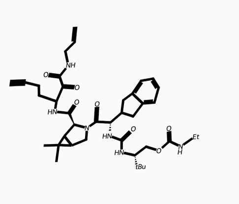 C#CCCC(NC(=O)[C@@H]1C2C(CN1C(=O)[C@@H](NC(=O)N[C@H](COC(=O)NCC)C(C)(C)C)C1Cc3ccccc3C1)C2(C)C)C(=O)C(=O)NCC=C